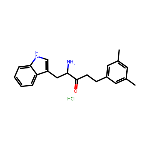 Cc1cc(C)cc(CCC(=O)C(N)Cc2c[nH]c3ccccc23)c1.Cl